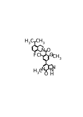 COc1cc(-c2cn(C)c(=O)c3[nH]ncc23)cc(Cl)c1C(=O)N1CCc2c(C(C)C)ccc(F)c2C1